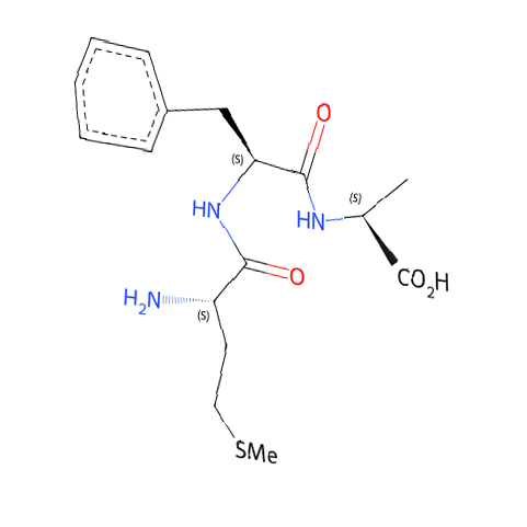 CSCC[C@H](N)C(=O)N[C@@H](Cc1ccccc1)C(=O)N[C@@H](C)C(=O)O